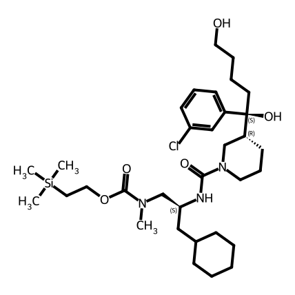 CN(C[C@H](CC1CCCCC1)NC(=O)N1CCC[C@@H]([C@@](O)(CCCCO)c2cccc(Cl)c2)C1)C(=O)OCC[Si](C)(C)C